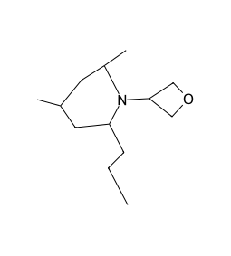 CCCC1CC(C)CC(C)N1C1COC1